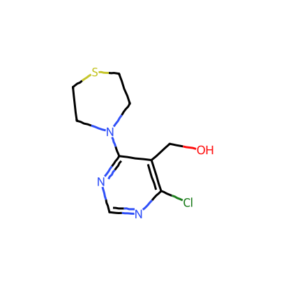 OCc1c(Cl)ncnc1N1CCSCC1